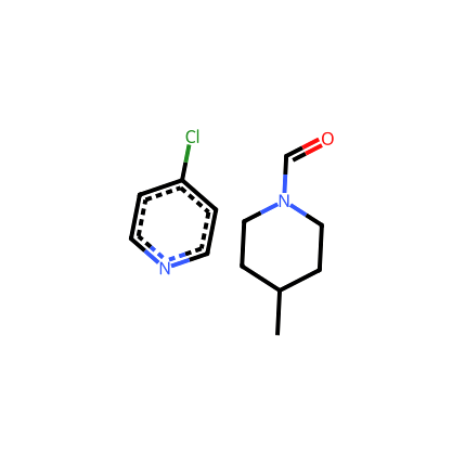 CC1CCN(C=O)CC1.Clc1ccncc1